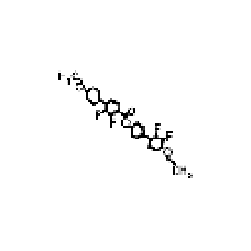 C=CCOc1ccc(-c2ccc(OC(=O)c3ccc(C4CCC(OCC)CC4)c(F)c3F)cc2)c(F)c1F